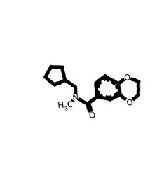 CN(CC1CCCC1)C(=O)c1ccc2c(c1)OCCO2